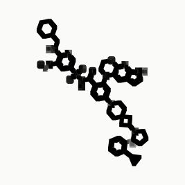 O=C(NS(=O)(=O)c1cnc(NCC2CCCCC2)c([N+](=O)[O-])c1)c1ccc(N2CCC3(CC2)CC(N2CCC[C@@H]2c2ccccc2C2CC2)C3)cc1N1CCOc2nc3[nH]ccc3cc21